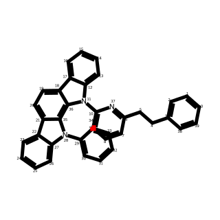 c1ccc(CCc2cccc(-n3c4ccccc4c4ccc5c6ccccc6n(-c6ccccc6)c5c43)n2)cc1